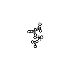 c1ccc(-n2c3ccccc3c3cc(-c4nc5ccccc5nc4-c4cccc5cc(-n6c7cc(-n8c9ccccc9c9cc%10ccccc%10cc98)ccc7c7cc8ccccc8cc76)ccc45)ccc32)cc1